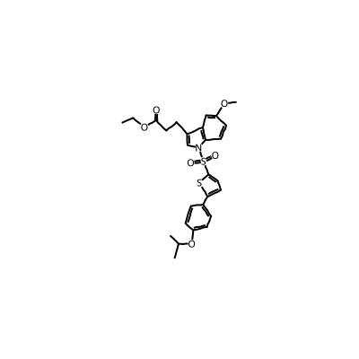 CCOC(=O)CCc1cn(S(=O)(=O)c2ccc(-c3ccc(OC(C)C)cc3)s2)c2ccc(OC)cc12